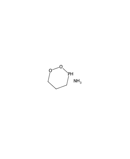 C1COOPC1.N